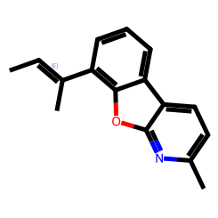 C/C=C(\C)c1cccc2c1oc1nc(C)ccc12